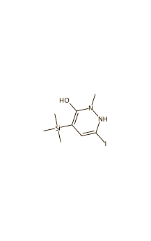 CN1NC(I)=CC([Si](C)(C)C)=C1O